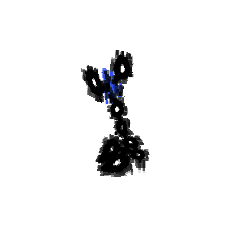 c1ccc(-c2nc(-c3ccccc3)nc(-c3ccc(-c4ccc(-c5ccc6c(c5)C(c5ccccc5)(c5ccccc5)c5ccccc5-6)cc4)cc3)n2)cc1